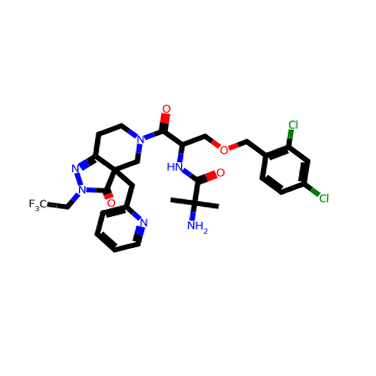 CC(C)(N)C(=O)NC(COCc1ccc(Cl)cc1Cl)C(=O)N1CCC2=NN(CC(F)(F)F)C(=O)C2(Cc2ccccn2)C1